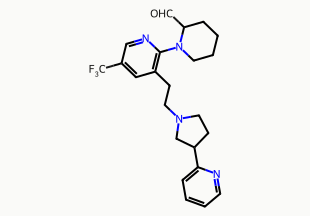 O=CC1CCCCN1c1ncc(C(F)(F)F)cc1CCN1CCC(c2ccccn2)C1